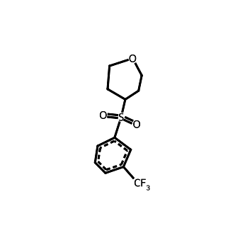 O=S(=O)(c1cccc(C(F)(F)F)c1)C1CCOCC1